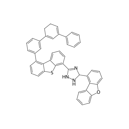 C1=C(c2ccccc2)C=C(c2cccc(-c3cccc4sc5c(C6=NC(c7cccc8oc9ccccc9c78)NN6)cccc5c34)c2)CC1